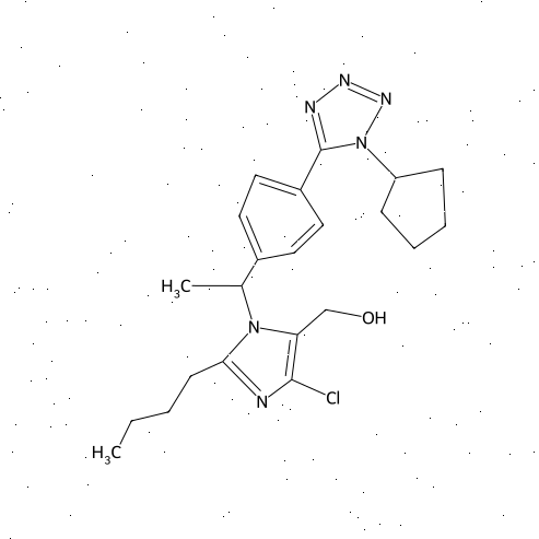 CCCCc1nc(Cl)c(CO)n1C(C)c1ccc(-c2nnnn2C2CCCC2)cc1